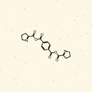 O=C(OC(=O)c1ccc(C(=O)OC(=O)C2=NCCC2)cc1)C1=NCCC1